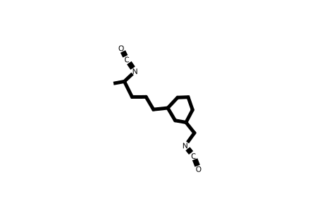 CC(CCCC1CCCC(CN=C=O)C1)N=C=O